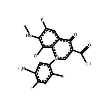 CNc1c(F)cc2c(=O)c(C(=O)O)cn(-c3cc(N)c(F)cc3F)c2c1Cl